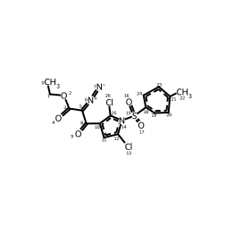 CCOC(=O)C(=[N+]=[N-])C(=O)c1cc(Cl)n(S(=O)(=O)c2ccc(C)cc2)c1Cl